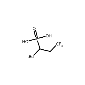 [CH2]C(C)(C)C(CC(F)(F)F)P(=O)(O)O